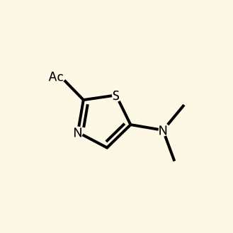 CC(=O)c1ncc(N(C)C)s1